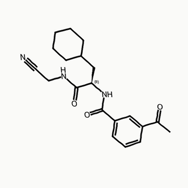 CC(=O)c1cccc(C(=O)N[C@H](CC2CCCCC2)C(=O)NCC#N)c1